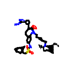 C[C@@H]1CCC[C@H](C)N1CCCCCN1C(=O)C(c2cccc(C(=N)N)c2)Cc2ccc(NS(=O)(=O)Cc3ccccc3)cc21